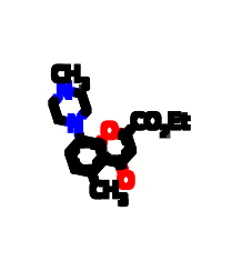 CCOC(=O)c1cc(=O)c2c(C)ccc(N3CCN(C)CC3)c2o1